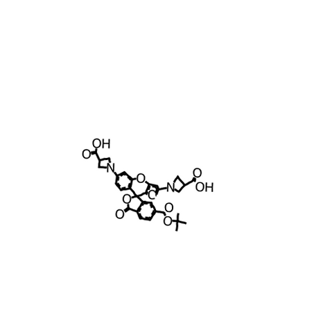 CC(C)(C)OC(=O)c1ccc2c(c1)C1(OC2=O)c2ccc(N3CC(C(=O)O)C3)cc2Oc2cc(N3CC(C(=O)O)C3)ccc21